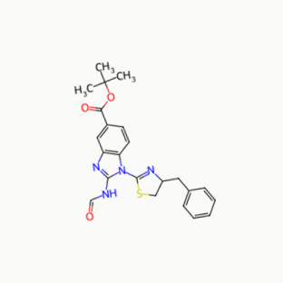 CC(C)(C)OC(=O)c1ccc2c(c1)nc(NC=O)n2C1=NC(Cc2ccccc2)CS1